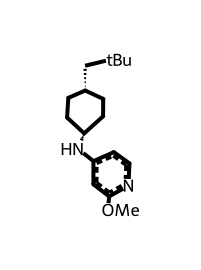 COc1cc(N[C@H]2CC[C@@H](CC(C)(C)C)CC2)ccn1